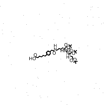 CC(C)(C)OC(=O)CC[C@H](NC(=O)N[C@@H](CCCCNC(=O)Cc1ccc(CCCCCC(=O)O)cc1)C(=O)OC(C)(C)C)C(=O)OC(C)(C)C